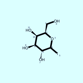 OC[C@H]1OC(I)[C@H](O)[C@@H](O)[C@H]1O